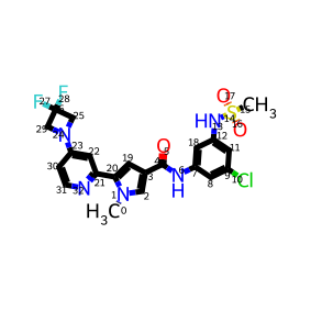 Cn1cc(C(=O)Nc2cc(Cl)cc(NS(C)(=O)=O)c2)cc1-c1cc(N2CC(F)(F)C2)ccn1